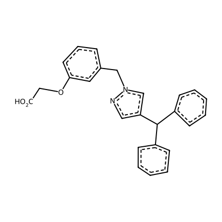 O=C(O)COc1cccc(Cn2cc(C(c3ccccc3)c3ccccc3)cn2)c1